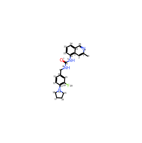 Cc1cc2c(NC(=O)NCc3ccc(N4CCCC4)c(F)c3)cccc2cn1